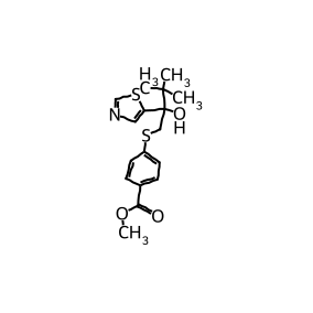 COC(=O)c1ccc(SCC(O)(c2cncs2)C(C)(C)C)cc1